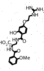 COc1ccccc1C(=O)N[C@@H](CNC(=O)c1ccc(OCCNC(=N)N)cc1O)C(=O)O